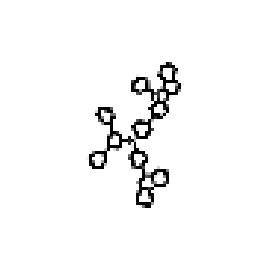 c1ccc(-c2cc(-c3ccccc3)cc(N(c3ccc(-c4ccc5c6ccc7ccccc7c6n(-c6ccccc6)c5c4)cc3)c3ccc(-c4cc5ccccc5c5ccccc45)cc3)c2)cc1